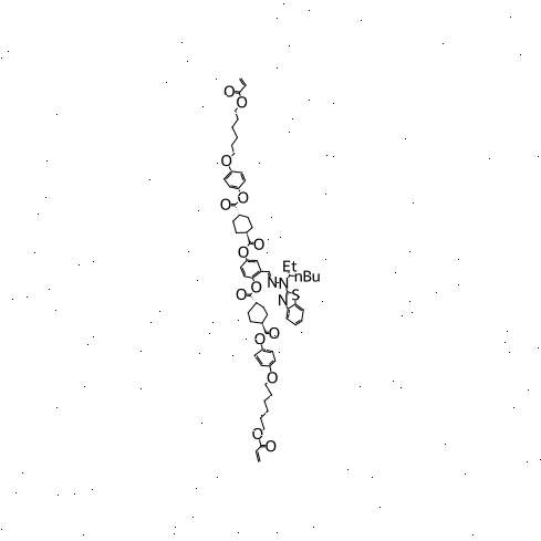 C=CC(=O)OCCCCCCOc1ccc(OC(=O)[C@H]2CC[C@H](C(=O)Oc3ccc(OC(=O)[C@H]4CC[C@H](C(=O)Oc5ccc(OCCCCCCOC(=O)C=C)cc5)CC4)c(/C=N/N(c4nc5ccccc5s4)C(CC)CCCC)c3)CC2)cc1